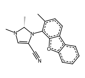 Cc1ccc2c(oc3ccccc32)c1N1C(C#N)=CN(C)[C@@H]1C